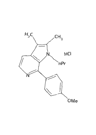 CCCn1c(C)c(C)c2ccnc(-c3ccc(OC)cc3)c21.Cl